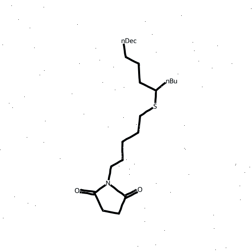 CCCCCCCCCCCCCC(CCCC)SCCCCCN1C(=O)CCC1=O